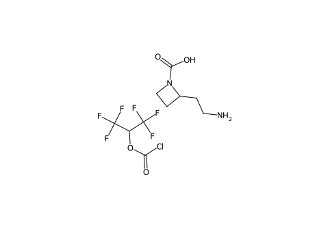 NCCC1CCN1C(=O)O.O=C(Cl)OC(C(F)(F)F)C(F)(F)F